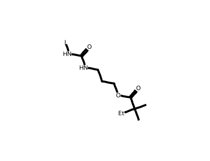 CCC(C)(C)C(=O)OCCCNC(=O)NI